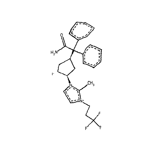 Cc1n([C@H]2CC[C@@H](C(C(N)=O)(c3ccccc3)c3ccccc3)C2)cc[n+]1CCC(F)(F)F.[I-]